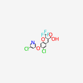 O=C(O)C1=Cc2cc(Cl)c(Oc3cncc(Cl)c3)cc2OC1C(F)(F)F